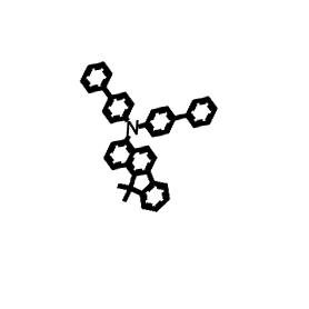 CC1(C)c2ccccc2-c2ccc3c(N(c4ccc(-c5ccccc5)cc4)c4ccc(-c5ccccc5)cc4)cccc3c21